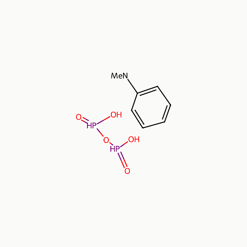 CNc1ccccc1.O=[PH](O)O[PH](=O)O